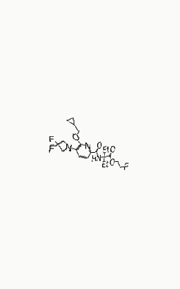 CCC(CC)(NC(=O)c1ccc(N2CC(F)(F)C2)c(OCC2CC2)n1)C(=O)OCCF